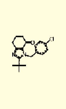 CC(C)(C)c1nc2c(n1Cc1ccc(Cl)cc1)C(=O)CCC2